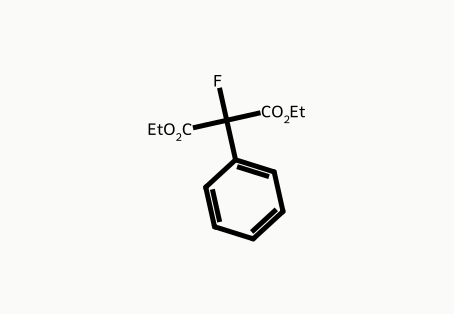 CCOC(=O)C(F)(C(=O)OCC)c1ccccc1